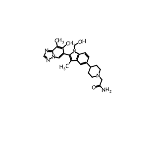 Cc1c(-c2c(C)c3cc(C4CCN(CC(N)=O)CC4)ccc3n2CO)cn2ncnc2c1C